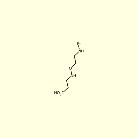 CCNCCONCCC(=O)O